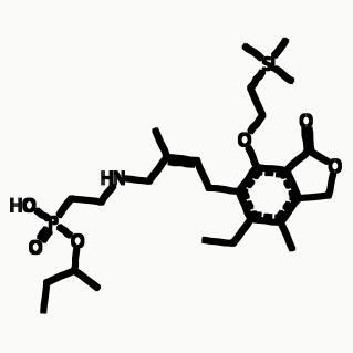 CCc1c(C)c2c(c(OCC[Si](C)(C)C)c1CC=C(C)CNCCP(=O)(O)OC(C)CC)C(=O)OC2